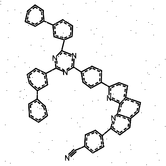 N#Cc1ccc(-c2ccc3ccc4ccc(-c5ccc(-c6nc(-c7cccc(-c8ccccc8)c7)nc(-c7cccc(-c8ccccc8)c7)n6)cc5)nc4c3n2)cc1